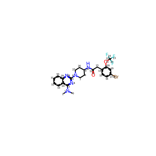 CN(C)c1nc(N2CCC(NC(=O)Cc3ccc(Br)cc3OC(F)(F)F)CC2)nc2ccccc12